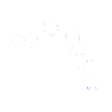 CN/C=C\C(=C/N)NC(=O)c1cc2ccc(-c3ccnc(-c4ccc5[nH]ncc5c4)n3)cc2[nH]1